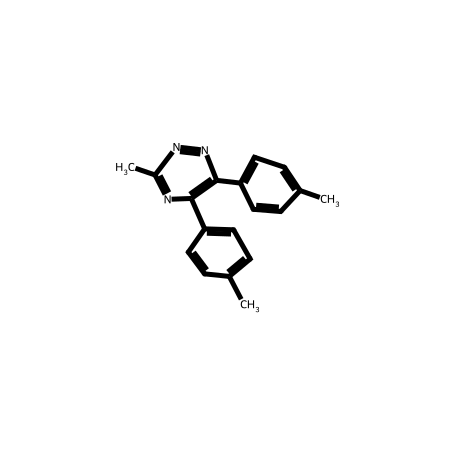 Cc1ccc(-c2nnc(C)nc2-c2ccc(C)cc2)cc1